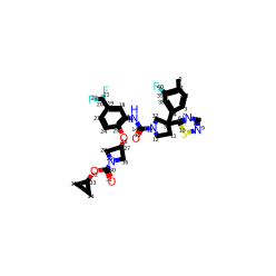 Cc1ccc(C2(c3ncns3)CCN(C(=O)Nc3cc(C(F)F)ccc3OC3CN(C(=O)OC4CC4)C3)C2)cc1F